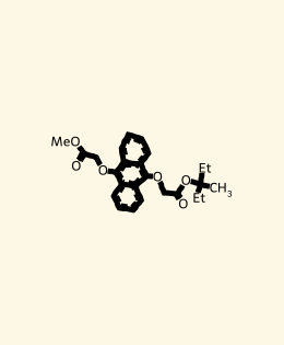 CCC(C)(CC)OC(=O)COc1c2ccccc2c(OCC(=O)OC)c2ccccc12